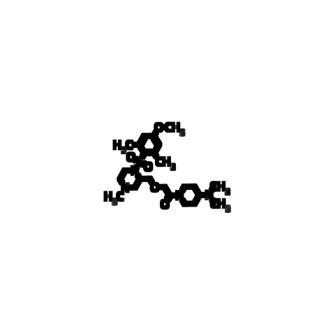 COc1cc(C)c(S(=O)(=O)N2CCN(C)CC2COCC(=O)N2CCC(N(C)C)CC2)c(C)c1